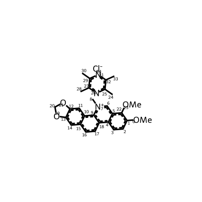 COc1ccc2c(c[n+](C)c3c4cc5c(cc4ccc23)OCO5)c1OC.Cc1nc(C)c(C)nc1C.[Cl-]